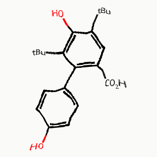 CC(C)(C)c1cc(C(=O)O)c(-c2ccc(O)cc2)c(C(C)(C)C)c1O